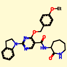 CCOc1ccc(COc2nc(N3CCc4ccccc43)ncc2C(=O)NC2CCCCNC2=O)cc1